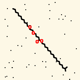 CCCCCCCCCCCOCCOCCCC(=O)OCCCCCCCCCCCCCCCC(C)C